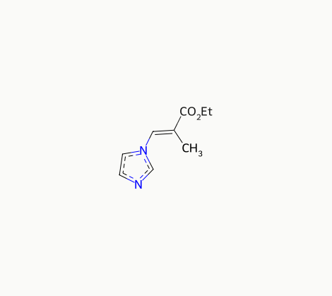 CCOC(=O)C(C)=Cn1ccnc1